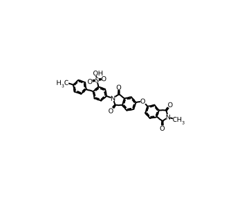 Cc1ccc(-c2ccc(N3C(=O)c4ccc(Oc5ccc6c(c5)C(=O)N(C)C6=O)cc4C3=O)cc2S(=O)(=O)O)cc1